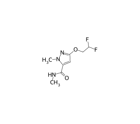 CNC(=O)c1cc(OCC(F)F)nn1C